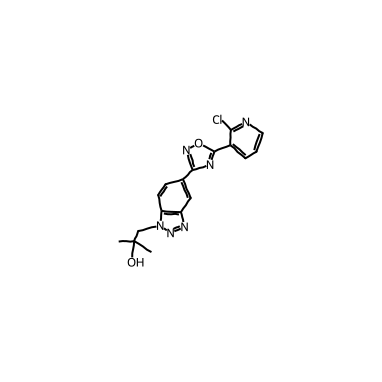 CC(C)(O)Cn1nnc2cc(-c3noc(-c4cccnc4Cl)n3)ccc21